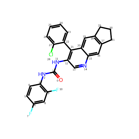 O=C(Nc1ccc(F)cc1F)Nc1cnc2cc3c(cc2c1-c1ccccc1Cl)CCC3